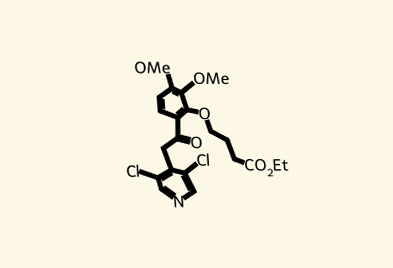 CCOC(=O)CCCOc1c(C(=O)Cc2c(Cl)cncc2Cl)ccc(OC)c1OC